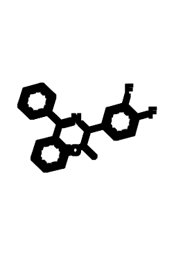 CC(O)C(N=C(c1ccccc1)c1ccccc1)c1ccc(F)c(F)c1